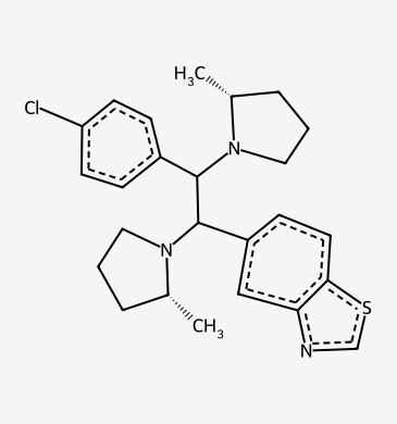 C[C@@H]1CCCN1C(c1ccc(Cl)cc1)C(c1ccc2scnc2c1)N1CCC[C@H]1C